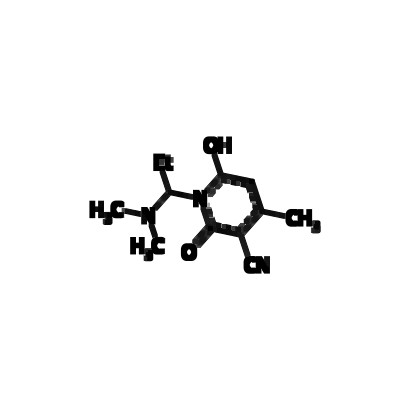 CCC(N(C)C)n1c(O)cc(C)c(C#N)c1=O